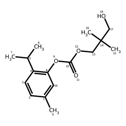 Cc1ccc(C(C)C)c(OC(=O)OCC(C)(C)CO)c1